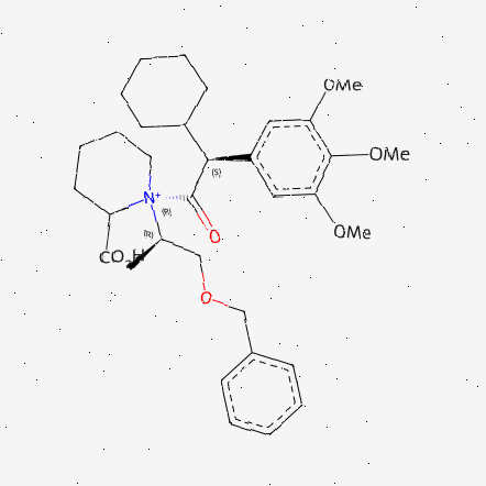 COc1cc([C@@H](C(=O)[N@@+]2([C@H](C)COCc3ccccc3)CCCCC2C(=O)O)C2CCCCC2)cc(OC)c1OC